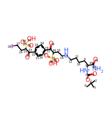 CC(C)(C)OC(=O)NC(CCCCNCCC(C(=O)c1ccc(C(=O)C(CCI)S(=O)(=O)O)cc1)S(=O)(=O)O)C(N)=O